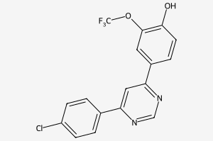 Oc1ccc(-c2cc(-c3ccc(Cl)cc3)ncn2)cc1OC(F)(F)F